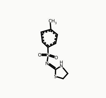 Cc1ccc(S(=O)(=O)N=C2NCCS2)cc1